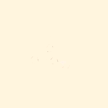 COC(=O)C(=O)Nc1ccc(OCc2ccccc2)c(-c2ccc(OC(F)(F)F)cc2)c1